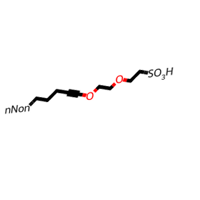 CCCCCCCCCCCCC#COCCOCCS(=O)(=O)O